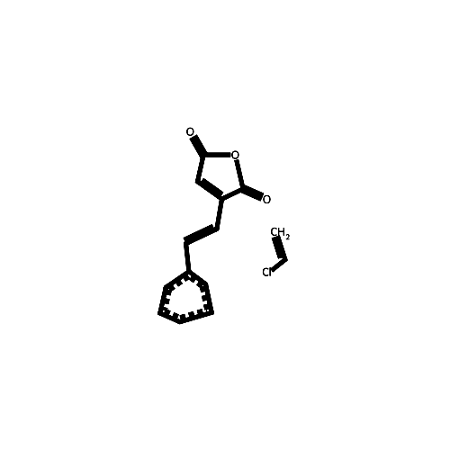 C=CCl.O=C1C=C(C=Cc2ccccc2)C(=O)O1